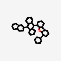 c1ccc(-c2cccc3c2oc2c(-c4c5ccccc5c(-c5ccc6ccccc6c5)c5ccccc45)cccc23)cc1